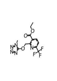 CCOC(=O)c1ccc(C(F)(F)F)nc1COc1nnnn1C